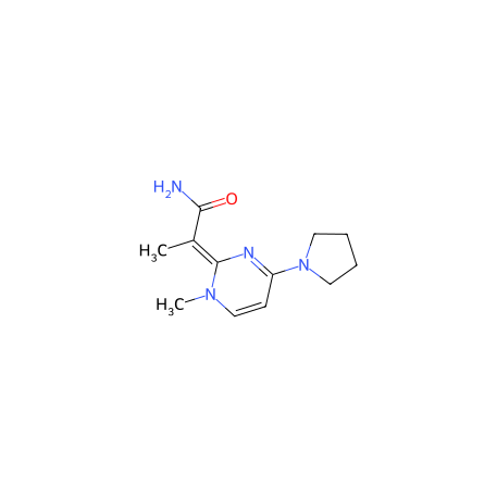 C/C(C(N)=O)=C1/N=C(N2CCCC2)C=CN1C